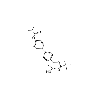 C=C(C)C(=O)Oc1ccc(-c2ccc(C(OC(=O)C(C)(C)C)C(C)(C)O)cc2)cc1F